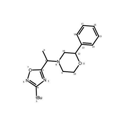 CC(c1nc(C(C)(C)C)no1)N1CCOC(c2ccccc2)C1